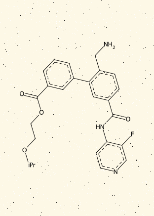 CC(C)OCCOC(=O)c1cccc(-c2cc(C(=O)Nc3ccncc3F)ccc2CN)c1